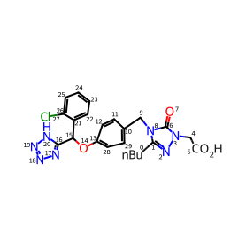 CCCCc1nn(CC(=O)O)c(=O)n1Cc1ccc(OC(c2nnn[nH]2)c2ccccc2Cl)cc1